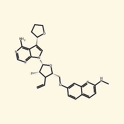 C=CC1[C@@H](COc2ccc3ccc(NC)nc3c2)O[C@@H](n2cc([C@@H]3CCCO3)c3c(N)ncnc32)[C@H]1F